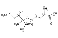 CCCC(=O)C(N)(CSSCC(N)C(=O)O)C(=O)O